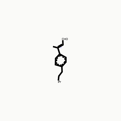 C/C(=C\C=O)c1ccc(CCC(C)C)cc1